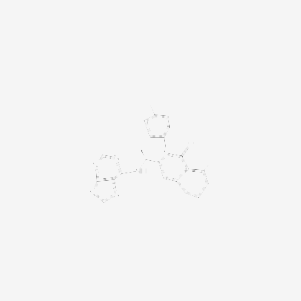 C[C@H](Nc1ncnc2[nH]cnc12)c1cc2cccc(Cl)c2c(=O)n1-c1ccc(F)cc1